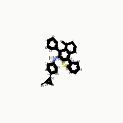 CC1CC=Cc2c1c(-c1ccccc1)c(Nc1ccc([C@H]3C[C@H]3C)cc1)c1sc3ccccc3c21